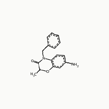 CC1Oc2cc(N)ccc2N(Cc2ccccc2)C1=O